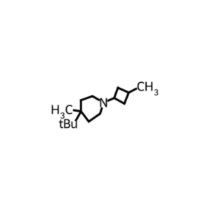 CC1CC(N2CCC(C)(C(C)(C)C)CC2)C1